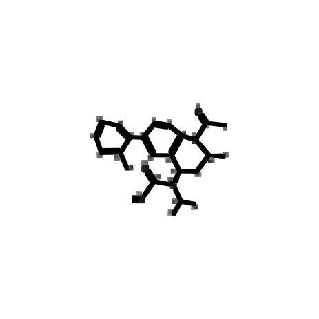 CC(=O)N1c2ccc(-c3ccccc3C)cc2[C@H](N(C(=O)O)C(C)C)C[C@@H]1C